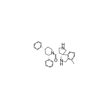 Cc1cccc2c1CNC[C@]21CNC[C@H]1C(=O)N1CC[C@@H](c2ccccc2)C[C@H]1c1ccccc1